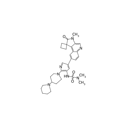 CN1C(=O)C2(CCC2)c2c1cnc1ccc(-c3cnc(N4CCC(N5CCCCC5)CC4)c(NS(=O)(=O)N(C)C)c3)cc21